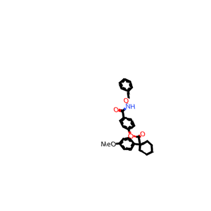 COc1ccc(C2(C(=O)Oc3ccc(C(=O)NOCc4ccccc4)cc3)CCCCC2)cc1